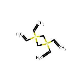 C=CS1(C=C)CS(C=C)(C=C)C1